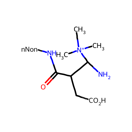 CCCCCCCCCNC(=O)C(CC(=O)O)C(N)[N+](C)(C)C